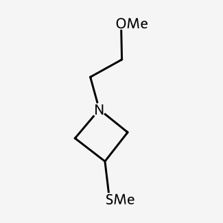 COCCN1CC(SC)C1